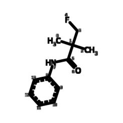 CC(C)(CF)C(=O)Nc1ccccc1